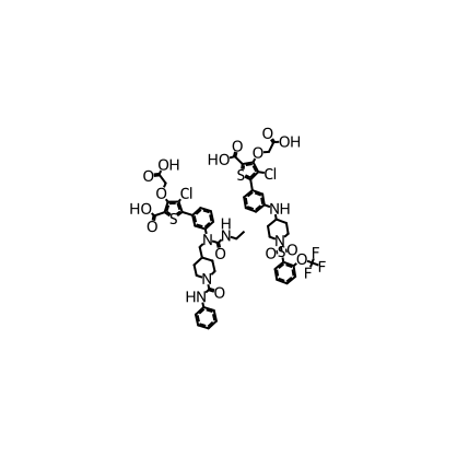 CCNC(=O)N(CC1CCN(C(=O)Nc2ccccc2)CC1)c1cccc(-c2sc(C(=O)O)c(OCC(=O)O)c2Cl)c1.O=C(O)COc1c(C(=O)O)sc(-c2cccc(NC3CCN(S(=O)(=O)c4ccccc4OC(F)(F)F)CC3)c2)c1Cl